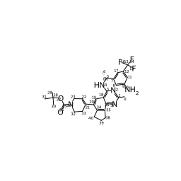 Cc1nc(N[C@H](C)c2cc(N)cc(C(F)(F)F)c2)c2cc(C3=CCN(C(=O)OC(C)(C)C)CC3)c3c(c2n1)CCC3